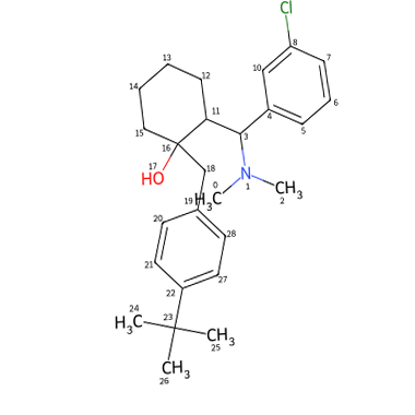 CN(C)C(c1cccc(Cl)c1)C1CCCCC1(O)Cc1ccc(C(C)(C)C)cc1